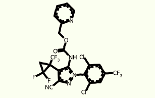 N#Cc1nn(-c2c(Cl)cc(C(F)(F)F)cc2Cl)c(NC(=O)OCc2ccccn2)c1C1(C(F)(F)F)CC1(F)F